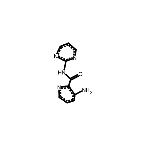 Nc1cccnc1C(=O)Nc1ncccn1